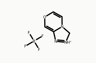 C1=CN2C[NH+]=NC2=CO1.F[B-](F)(F)F